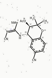 CN/C(=N/C#N)N[C@H]1c2cc(C#N)ccc2OC(C)(C)[C@@H]1OC(C)=O